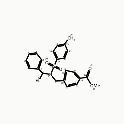 CCC(c1ccccc1)N(Cc1ccc(C(=O)OC)cc1)S(=O)(=O)c1ccc(C)cc1